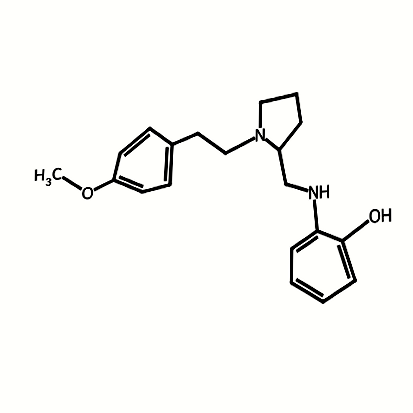 COc1ccc(CCN2CCCC2CNc2ccccc2O)cc1